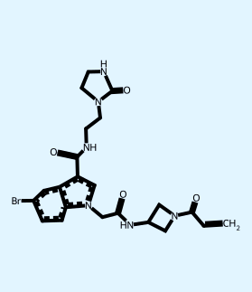 C=CC(=O)N1CC(NC(=O)Cn2cc(C(=O)NCCN3CCNC3=O)c3cc(Br)ccc32)C1